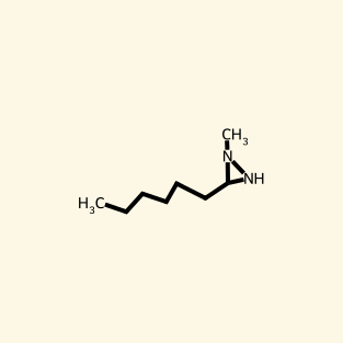 CCCCCCC1NN1C